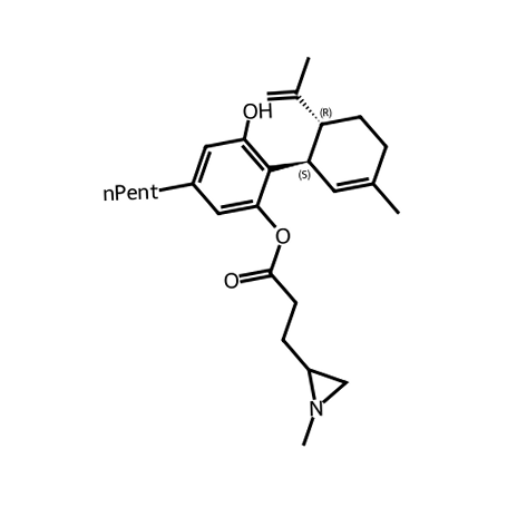 C=C(C)[C@@H]1CCC(C)=C[C@H]1c1c(O)cc(CCCCC)cc1OC(=O)CCC1CN1C